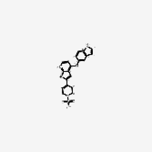 CCS(=O)(=O)N1CC=C(c2cc3c(Nc4ccc5[nH]ncc5c4)ccnc3[nH]2)CC1